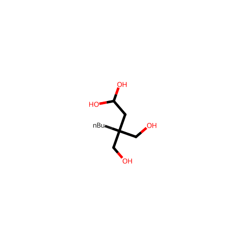 CCCCC(CO)(CO)CC(O)O